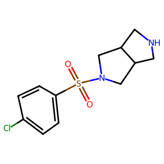 O=S(=O)(c1ccc(Cl)cc1)N1CC2CNCC2C1